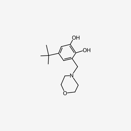 CC(C)(C)c1cc(O)c(O)c(CN2CCOCC2)c1